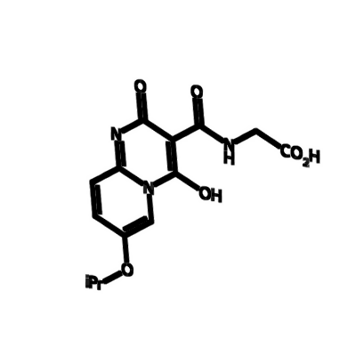 CC(C)Oc1ccc2nc(=O)c(C(=O)NCC(=O)O)c(O)n2c1